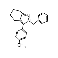 Cc1ccc(-c2c3c(nn2Cc2ccccc2)CCCC3)cc1